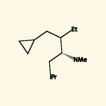 CCC(CC1CC1)[C@@H](CC(C)C)NC